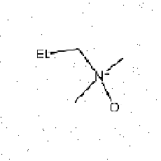 [CH2]CC[N+](C)(C)[O-]